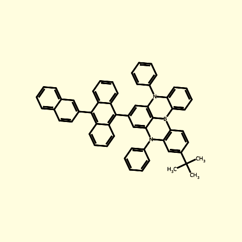 CC(C)(C)c1ccc2c(c1)N(c1ccccc1)c1cc(-c3c4ccccc4c(-c4ccc5ccccc5c4)c4ccccc34)cc3c1B2c1ccccc1N3c1ccccc1